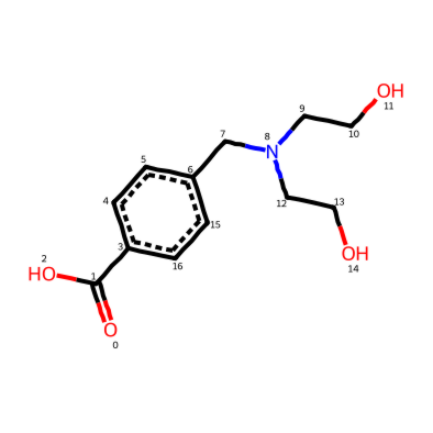 O=C(O)c1ccc(CN(CCO)CCO)cc1